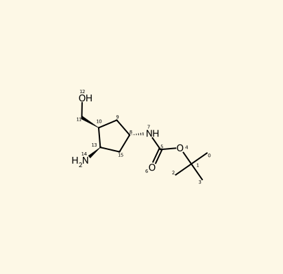 CC(C)(C)OC(=O)N[C@H]1C[C@H](CO)[C@H](N)C1